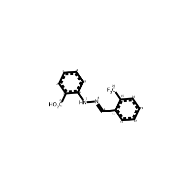 O=C(O)c1ccccc1N/N=C/c1ccccc1C(F)(F)F